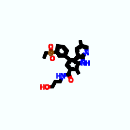 CCS(=O)(=O)c1cccc(-c2cc(C(=O)NCCCO)c(C)c3[nH]c4ncc(C)cc4c23)c1